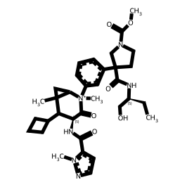 CC[C@@H](CO)NC(=O)C1(c2cccc([N+]3(C)C(=O)[C@@H](NC(=O)c4ccnn4C)C(C4CCC4)C4(C)CC43)c2)CCN(C(=O)OC)C1